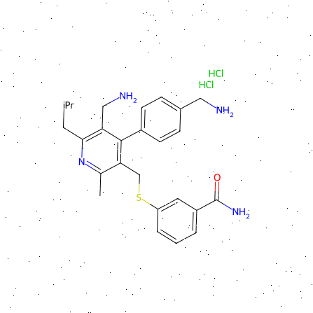 Cc1nc(CC(C)C)c(CN)c(-c2ccc(CN)cc2)c1CSc1cccc(C(N)=O)c1.Cl.Cl